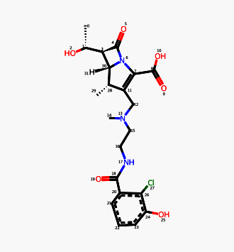 C[C@@H](O)[C@H]1C(=O)N2C(C(=O)O)=C(CN(C)CCNC(=O)c3cccc(O)c3Cl)[C@H](C)[C@H]12